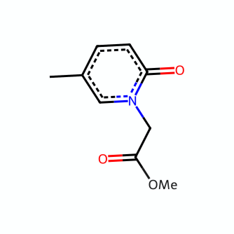 COC(=O)Cn1cc(C)ccc1=O